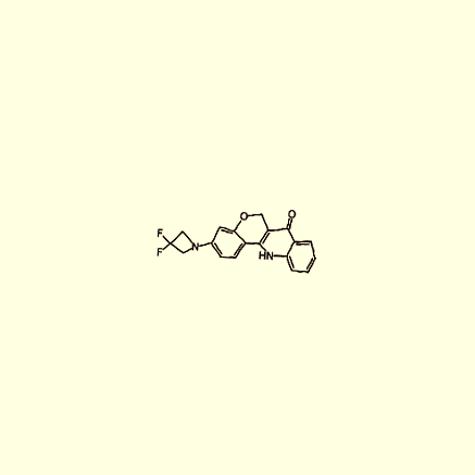 O=c1c2c([nH]c3ccccc13)-c1ccc(N3CC(F)(F)C3)cc1OC2